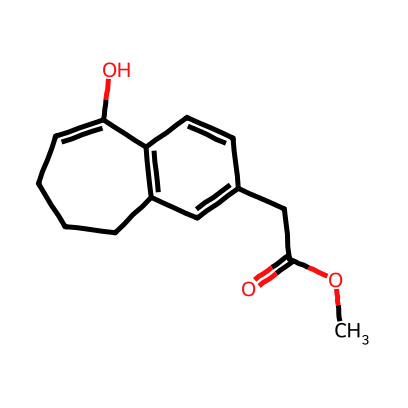 COC(=O)Cc1ccc2c(c1)CCCC=C2O